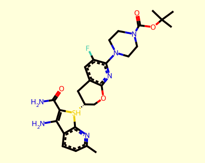 Cc1ccc2c(n1)[SH]([C@H]1COc3nc(N4CCN(C(=O)OC(C)(C)C)CC4)c(F)cc3C1)C(C(N)=O)=C2N